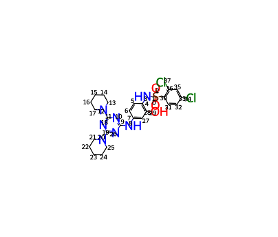 O=S(=O)(Nc1ccc(Nc2nc(N3CCCCC3)nc(N3CCCCC3)n2)cc1O)c1ccc(Cl)cc1Cl